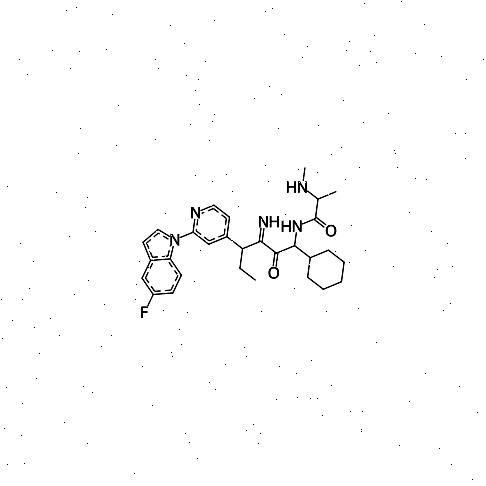 CCC(C(=N)C(=O)C(NC(=O)C(C)NC)C1CCCCC1)c1ccnc(-n2ccc3cc(F)ccc32)c1